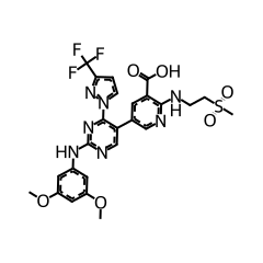 COc1cc(Nc2ncc(-c3cnc(NCCS(C)(=O)=O)c(C(=O)O)c3)c(-n3ccc(C(F)(F)F)n3)n2)cc(OC)c1